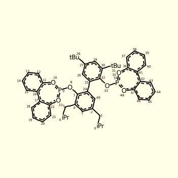 CC(C)Cc1cc(CC(C)C)c(Op2oc3ccccc3c3ccccc3o2)c(-c2cc(C(C)(C)C)cc(C(C)(C)C)c2Op2oc3ccccc3c3ccccc3o2)c1